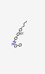 C=C/C=C\C=C/Cc1ccc(-c2ccc(-c3ccc(C(=C)/N=C(\N=C)c4cccc(-c5ccccc5)c4)cc3)cc2CC)cc1